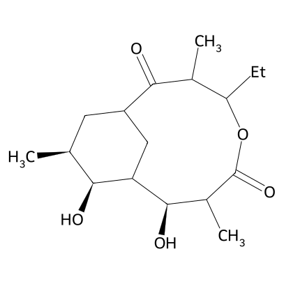 CCC1OC(=O)C(C)[C@@H](O)C2CC(C[C@H](C)[C@@H]2O)C(=O)C1C